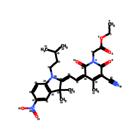 CCOC(=O)CN1C(=O)C(C#N)=C(C)/C(=C/C=C2/N(CCC(C)C)c3ccc([N+](=O)[O-])cc3C2(C)C)C1=O